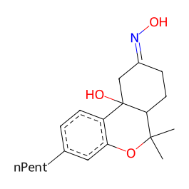 CCCCCc1ccc2c(c1)OC(C)(C)C1CCC(=NO)CC21O